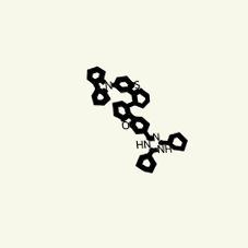 C1=CCCC(C2N=C(c3ccc4c(c3)oc3cccc(C5=c6c(sc7ccc(-n8c9ccccc9c9ccccc98)cc67)=CCC5)c34)NC(c3ccccc3)N2)=C1